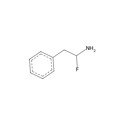 NC(F)Cc1ccccc1